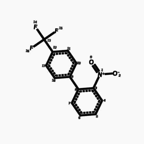 O=[N+]([O-])c1ccccc1-c1ccc(C(F)(F)F)cc1